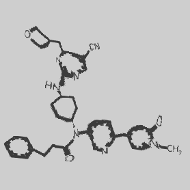 Cn1ccc(-c2ccc(N(C(=O)CCc3ccccc3)[C@H]3CC[C@H](Nc4ncc(C#N)c(CC5COC5)n4)CC3)cn2)cc1=O